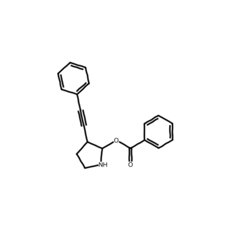 O=C(OC1NCCC1C#Cc1ccccc1)c1ccccc1